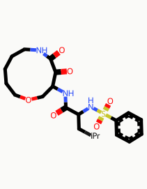 CC(C)CC(NS(=O)(=O)c1ccccc1)C(=O)NC1COCCCCCNC(=O)C1=O